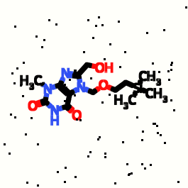 Cn1c(=O)[nH]c(=O)c2c1nc(CO)n2COCC[Si](C)(C)C